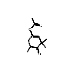 CC(=O)OC1=CC(C)(C)C(=O)C(C)C1